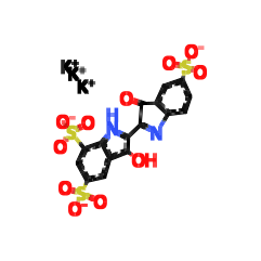 O=C1C(c2[nH]c3c(S(=O)(=O)[O-])cc(S(=O)(=O)[O-])cc3c2O)=Nc2ccc(S(=O)(=O)[O-])cc21.[K+].[K+].[K+]